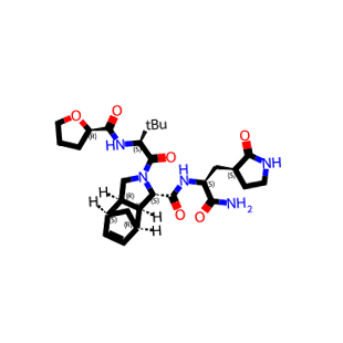 CC(C)(C)[C@H](NC(=O)[C@H]1CCCO1)C(=O)N1C[C@H]2[C@@H]([C@H]1C(=O)N[C@@H](C[C@@H]1CCNC1=O)C(N)=O)[C@H]1C=C[C@@H]2C1